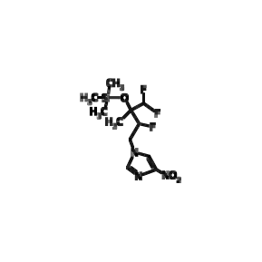 CC(O[Si](C)(C)C)(C(F)F)C(F)Cn1cnc([N+](=O)[O-])c1